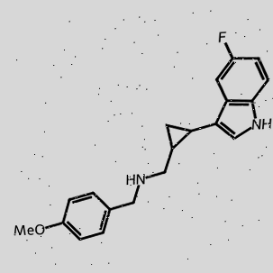 COc1ccc(CNCC2CC2c2c[nH]c3ccc(F)cc23)cc1